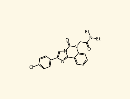 CCN(CC)C(=O)Cn1c(=O)n2cc(-c3ccc(Cl)cc3)nc2c2ccccc21